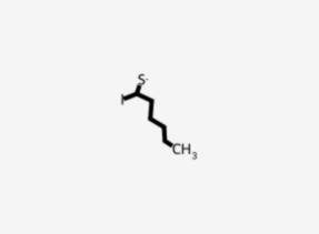 CCCCCC([S])I